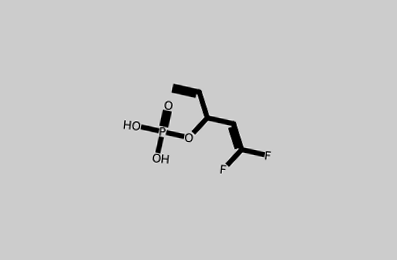 C=CC(C=C(F)F)OP(=O)(O)O